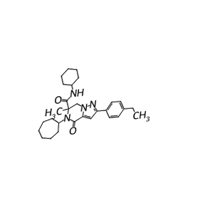 CCc1ccc(-c2cc3n(n2)CC(C)(C(=O)NC2CCCCC2)N(C2CCCCCC2)C3=O)cc1